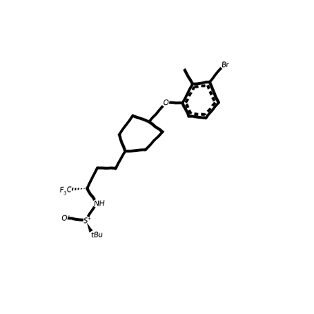 Cc1c(Br)cccc1OC1CCC(CC[C@H](N[S@+]([O-])C(C)(C)C)C(F)(F)F)CC1